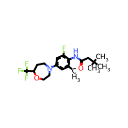 Cc1cc(N2CCOC(C(F)(F)F)CC2)cc(F)c1NC(=O)CC(C)(C)C